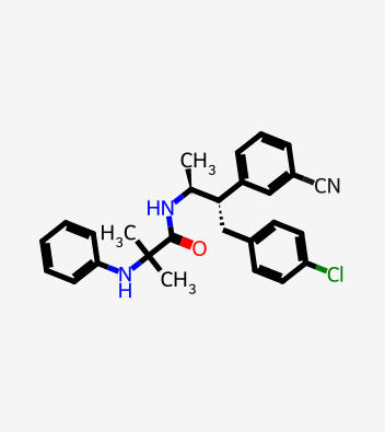 C[C@H](NC(=O)C(C)(C)Nc1ccccc1)[C@@H](Cc1ccc(Cl)cc1)c1cccc(C#N)c1